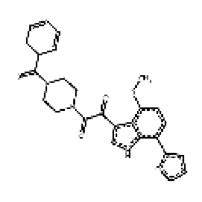 COc1ccc(-c2ccco2)c2[nH]cc(C(=O)C(=O)N3CCN(C(=O)C4C=CC=CC4)CC3)c12